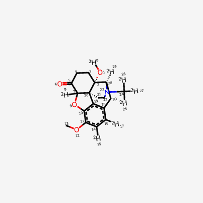 [2H]O[C@@]12CCC(=O)C3([2H])Oc4c(OC)c([2H])c([2H])c5c4[C@@]31CCN(C([2H])([2H])[2H])[C@]2([2H])C5